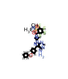 CN(C)S(=O)(=O)c1c(F)c(F)c(F)c(F)c1C(=O)N1CC(n2nc(-c3ccc(Oc4ccccc4)cc3)c3c(N)ncnc32)C1